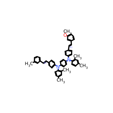 COc1cccc(/C=C/c2ccc(N(c3ccc(N(c4ccc(/C=C/c5cccc(C)c5)cc4)c4ccc(C)cc4C)cc3)c3ccc(C)cc3C)cc2)c1